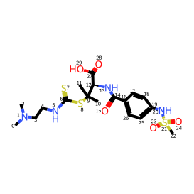 CN(C)CCNC(=S)SC(C)(C)[C@H](NC(=O)c1ccc(NS(C)(=O)=O)cc1)C(=O)O